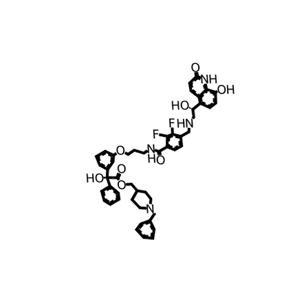 O=C(NCCCOc1cccc([C@](O)(C(=O)OCC2CCN(Cc3ccccc3)CC2)c2ccccc2)c1)c1ccc(CNC[C@H](O)c2ccc(O)c3[nH]c(=O)ccc23)c(F)c1F